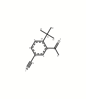 CC(=O)c1cc(C#N)ccc1C(C)(C)C